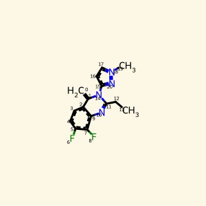 C=C1c2ccc(F)c(F)c2N=C(CC)N1c1ccn(C)n1